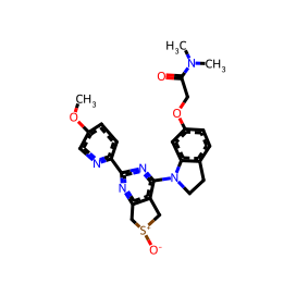 COc1ccc(-c2nc3c(c(N4CCc5ccc(OCC(=O)N(C)C)cc54)n2)C[S+]([O-])C3)nc1